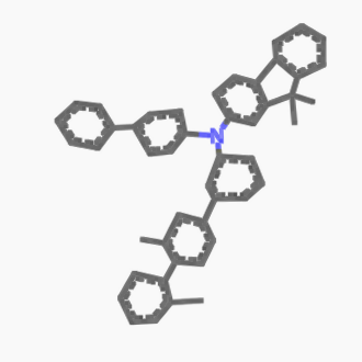 Cc1ccccc1-c1ccc(-c2cccc(N(c3ccc(-c4ccccc4)cc3)c3ccc4c(c3)C(C)(C)c3ccccc3-4)c2)cc1C